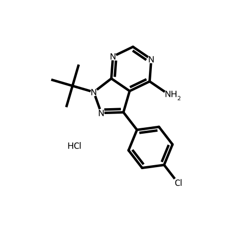 CC(C)(C)n1nc(-c2ccc(Cl)cc2)c2c(N)ncnc21.Cl